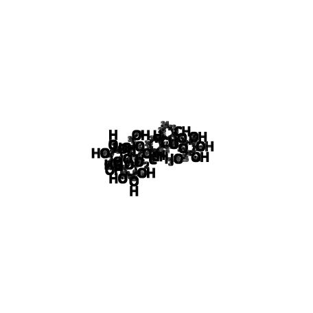 C=C1C[C@@]23CCC4[C@](C)(C(=O)O[C@@H]5OC(CO)[C@@H](O)C(O)C5O)CCC[C@@]4(C)[C@@H]2CC[C@]1(O[C@@H]1OC(CO)[C@@H](O)C(O[C@@H]2OC(CO)[C@@H](O)C(O)C2O)C1O[C@@H]1OC(CO)[C@@H](O)C(O)C1O)[C@@H]3C